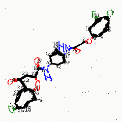 O=C(COc1ccc(Cl)c(F)c1)N[C@H]1CC[C@H](NC(=O)C2CC(=O)c3cc(Cl)ccc3O2)CC1